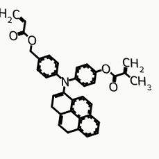 C=CC(=O)OCc1ccc(N(C2=CCC3=CCc4cccc5ccc2c3c45)c2ccc(OC(=O)C(=C)C)cc2)cc1